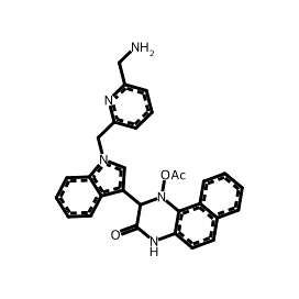 CC(=O)ON1c2c(ccc3ccccc23)NC(=O)C1c1cn(Cc2cccc(CN)n2)c2ccccc12